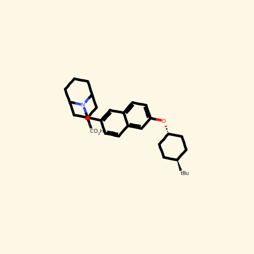 CC(C)(C)[C@H]1CC[C@H](Oc2ccc3cc(CN4C5CCCC4CC(C(=O)O)C5)ccc3c2)CC1